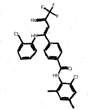 Cc1cc(C)c(NC(=O)c2ccc(/C(=C/C(=N)C(F)(F)F)Nc3ccccc3Cl)cc2)c(Cl)c1